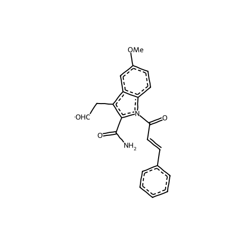 COc1ccc2c(c1)c(C[C]=O)c(C(N)=O)n2C(=O)C=Cc1ccccc1